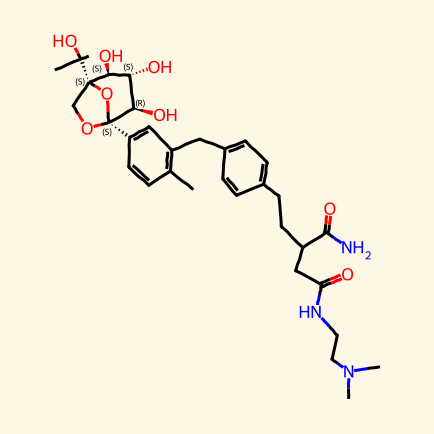 Cc1ccc([C@]23OC[C@](C(C)(C)O)(O2)[C@@H](O)[C@H](O)[C@H]3O)cc1Cc1ccc(CCC(CC(=O)NCCN(C)C)C(N)=O)cc1